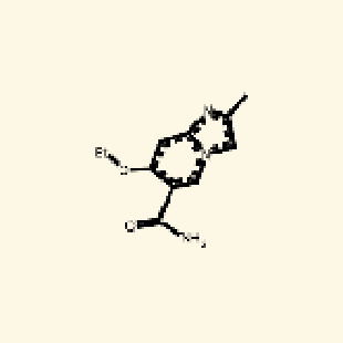 CCOc1cc2nc(C)cn2cc1C(N)=O